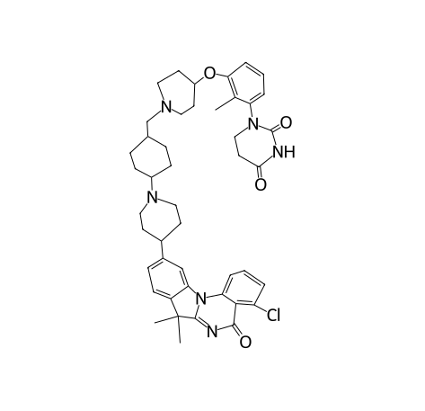 Cc1c(OC2CCN(CC3CCC(N4CCC(c5ccc6c(c5)-n5c(nc(=O)c7c(Cl)cccc75)C6(C)C)CC4)CC3)CC2)cccc1N1CCC(=O)NC1=O